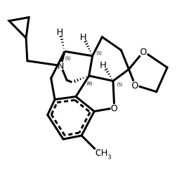 Cc1ccc2c3c1O[C@@H]1C4(CC[C@@H]5[C@H](C2)N(CC2CC2)CC[C@]351)OCCO4